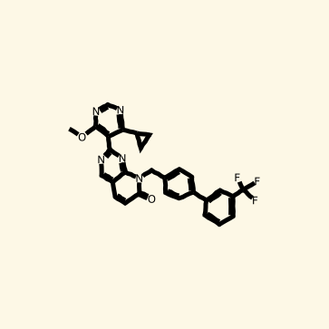 COc1ncnc(C2CC2)c1-c1ncc2ccc(=O)n(Cc3ccc(-c4cccc(C(F)(F)F)c4)cc3)c2n1